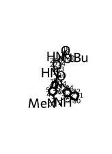 CNC(=N)c1ccc2cc(C(=O)NC3CCC(NC(=O)OC(C)(C)C)CC3)n(Cc3ccc4ccccc4c3)c2c1